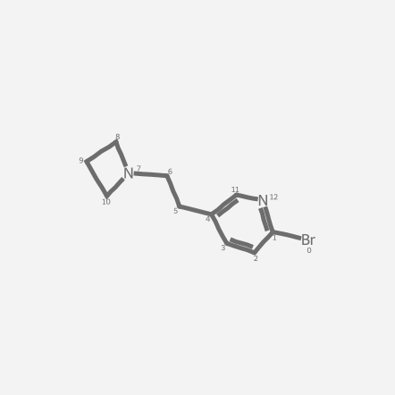 Brc1ccc(CCN2CCC2)cn1